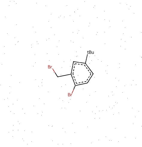 CC(C)(C)c1ccc(Br)c(CBr)c1